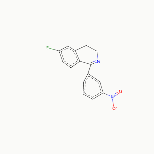 O=[N+]([O-])c1cccc(C2=NCCc3cc(F)ccc32)c1